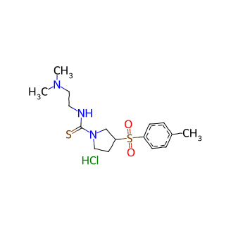 Cc1ccc(S(=O)(=O)C2CCN(C(=S)NCCN(C)C)C2)cc1.Cl